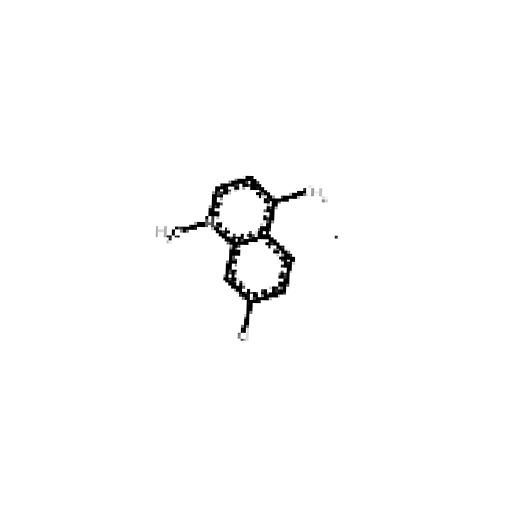 Cc1cc[n+](C)c2cc(Cl)ccc12.[I-]